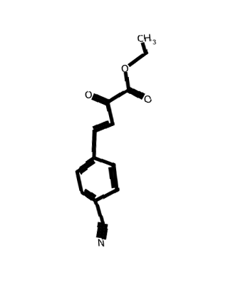 CCOC(=O)C(=O)/C=C/c1ccc(C#N)cc1